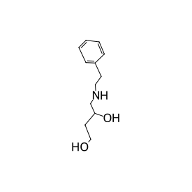 OCCC(O)CNCCc1ccccc1